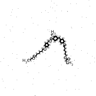 C=CCOOCCCCCCOc1ccc(COOc2ccc(Cc3ccc(OCCCCCCOC(=O)C=C)cc3)cc2C)cc1